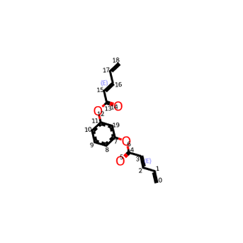 C=C/C=C/C(=O)Oc1cccc(OC(=O)/C=C/C=C)c1